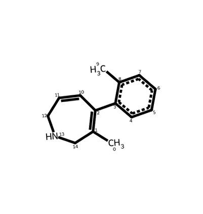 CC1=C(c2ccccc2C)C=CCNC1